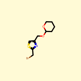 BrCc1nc(COC2CCCCO2)cs1